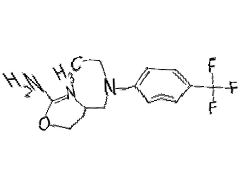 CCN(CC1COC(N)=N1)c1ccc(C(F)(F)F)cc1